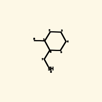 CC1CCCCC1CS